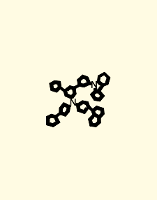 C1=Cc2c(n(-c3cccc(-c4cc(-c5ccccc5)cc(N(c5ccc(-c6ccccc6)cc5)c5ccc(-c6cccc7ccccc67)cc5)c4)c3)c3ccccc23)CC1